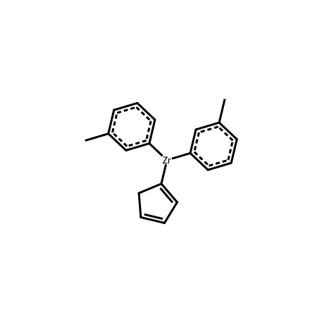 Cc1ccc[c]([Zr]([C]2=CC=CC2)[c]2cccc(C)c2)c1